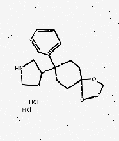 Cl.Cl.c1ccc(C2(C3CCNC3)CCC3(CC2)OCCO3)cc1